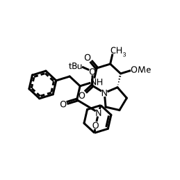 COC(C(C)C(=O)NC(Cc1ccccc1)C(=O)N1OC2C=CC1CC2)[C@@H]1CCCN1C(=O)OC(C)(C)C